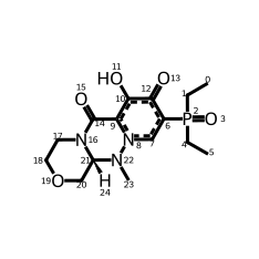 CCP(=O)(CC)c1cn2c(c(O)c1=O)C(=O)N1CCOC[C@H]1N2C